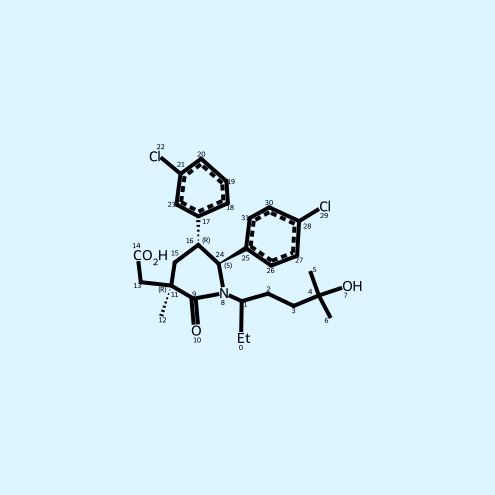 CCC(CCC(C)(C)O)N1C(=O)[C@@](C)(CC(=O)O)C[C@H](c2cccc(Cl)c2)[C@H]1c1ccc(Cl)cc1